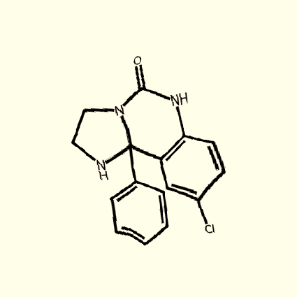 O=C1Nc2ccc(Cl)cc2C2(c3ccccc3)NCCN12